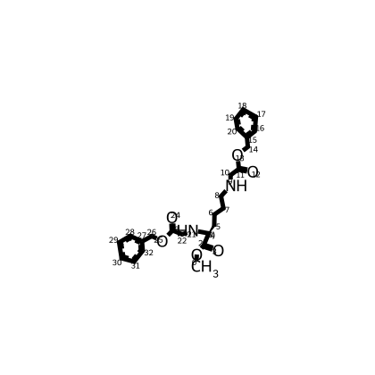 COC(=O)[C@H](CCCCNCC(=O)OCc1ccccc1)NCC(=O)OCc1ccccc1